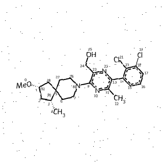 CO[C@H]1C[C@@H](C)C2(CCN(c3nc(C)c(-c4cccc(Cl)c4Cl)nc3CO)CC2)C1